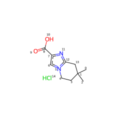 CC1(C)CCn2cc(C(=O)O)nc2C1.Cl